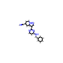 N#Cc1ccn2ncc(-c3nccc(NCc4ccccc4)n3)c2c1